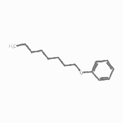 CCCCCCCCOc1[c]c[c]cc1